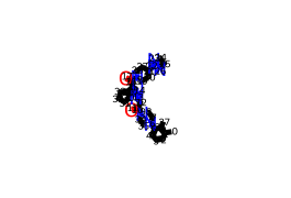 Cc1cccc(N2CCN(C(=O)Cn3nc(C(=O)N4CCC(n5nccn5)CC4)c4c3CCC4)CC2)c1C